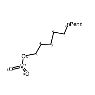 CCCCCCCCCC[O][V](=[O])=[O]